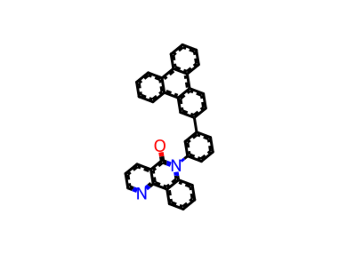 O=c1c2cccnc2c2ccccc2n1-c1cccc(-c2ccc3c4ccccc4c4ccccc4c3c2)c1